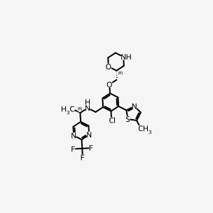 Cc1cnc(-c2cc(OC[C@H]3CNCCO3)cc(CN[C@H](C)c3cnc(C(F)(F)F)nc3)c2Cl)s1